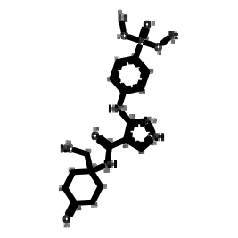 CCOP(=O)(OCC)c1ccc(Nc2n[nH]cc2C(=O)NC2(CC#N)CCC(=O)CC2)cc1